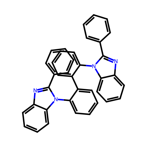 c1ccc(-c2nc3ccccc3n2-c2ccccc2-c2ccccc2-n2c(-c3ccccc3)nc3ccccc32)cc1